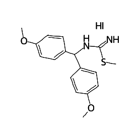 COc1ccc(C(NC(=N)SC)c2ccc(OC)cc2)cc1.I